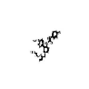 COc1ccc(C2CN(Cc3ccn(CCO)n3)CCC2NC(=O)Nc2ccc(Cl)cc2)nc1